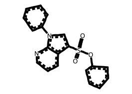 O=S(=O)(Oc1ccccc1)c1cn(-c2ccccc2)c2ncccc12